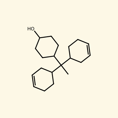 CC(C1CC=CCC1)(C1CC=CCC1)C1CCC(O)CC1